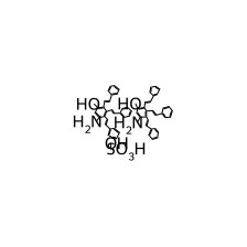 Nc1cc(O)c(C=Cc2ccccc2)c(C=Cc2ccccc2)c1C=Cc1ccccc1.Nc1cc(O)c(C=Cc2ccccc2)c(C=Cc2ccccc2)c1C=Cc1ccccc1.O=S(=O)(O)O